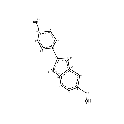 OCc1ccc2nc(-c3ccc([18F])cc3)sc2c1